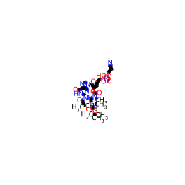 CC(C)C(=O)Nc1nc2c(ncn2[C@@H]2OC(COP(=O)(O)OCCC#N)C[C@H]2OC(=O)N(C)CCN(C)C(=O)OC(C)(C)C)c(=O)[nH]1